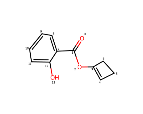 O=C(OC1=CCC1)c1ccccc1O